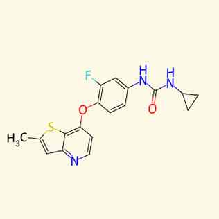 Cc1cc2nccc(Oc3ccc(NC(=O)NC4CC4)cc3F)c2s1